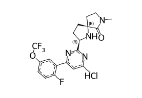 Cc1cc(-c2cc(OC(F)(F)F)ccc2F)nc([C@H]2CC[C@]3(CCN(C)C3=O)N2)n1.Cl